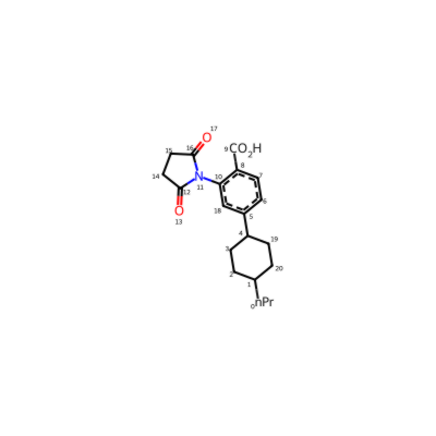 CCCC1CCC(c2ccc(C(=O)O)c(N3C(=O)CCC3=O)c2)CC1